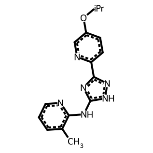 Cc1cccnc1Nc1nc(-c2ccc(OC(C)C)cn2)n[nH]1